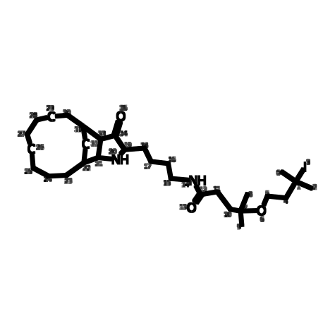 CC(C)(I)CCOC(C)(C)CCC(=O)NCCCCC1NC2C3CCCCCCCCC(C3)C2C1=O